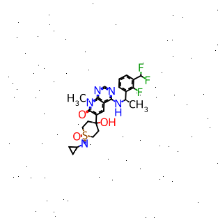 C[C@@H](Nc1ncnc2c1cc(C1(O)CCS(=O)(=NC3CC3)CC1)c(=O)n2C)c1cccc(C(F)F)c1F